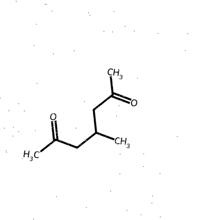 CC(=O)CC(C)CC(C)=O